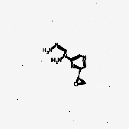 N/N=C\N(N)c1cncc([C@H]2CO2)n1